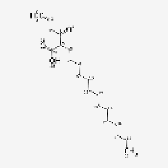 C=CCC(=O)C(CCCCCCCCCCCCCC)C(=O)O